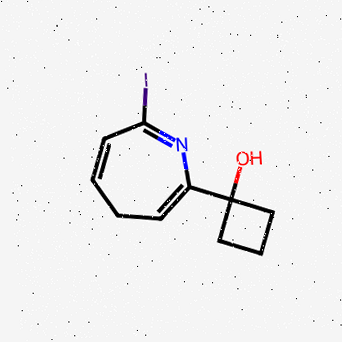 OC1(C2=CCC=CC(I)=N2)CCC1